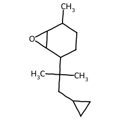 CC1CCC(C(C)(C)CC2CC2)C2OC12